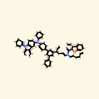 C=C/C=C\C=C\N(/C=C/CC(C=C)c1cc(C2=CCC(N(c3ccccc3)c3ccc4c(c3)c(=C/C)/c(=C\C)n4-c3ccccc3)C=C2)cc(-c2ccccc2)c1)C(=C)C1Oc2ccccc2[C@@H]1C=C